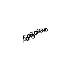 O=C(Oc1ccc2c(F)c(F)ccc2c1)c1ccc(OCOCC2CO2)cc1